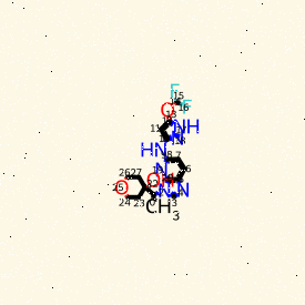 CC(n1cnc2ccc(Nc3cc(OC(F)F)[nH]n3)nc21)C1(O)CCOCC1